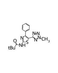 Cn1nnc(-c2sc(NC(=O)C(C)(C)C)nc2-c2ccccc2)n1